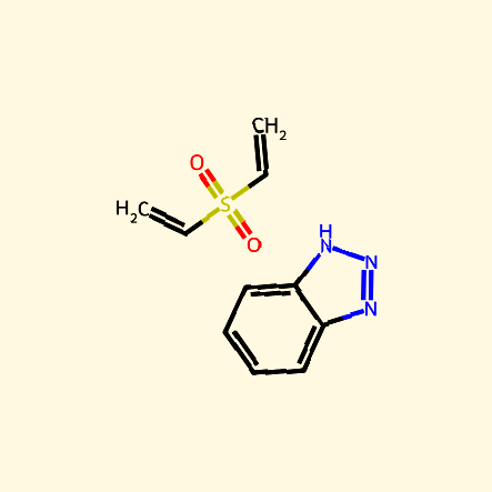 C=CS(=O)(=O)C=C.c1ccc2[nH]nnc2c1